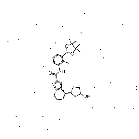 Cc1c(NC(=O)c2cc3n(n2)CCC[C@@H]3N2CC[C@@H](O)C2)cccc1B1OC(C)(C)C(C)(C)O1